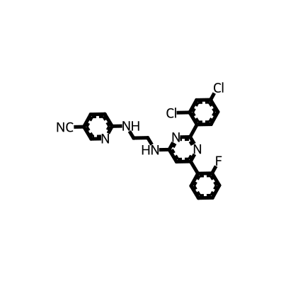 N#Cc1ccc(NCCNc2cc(-c3ccccc3F)nc(-c3ccc(Cl)cc3Cl)n2)nc1